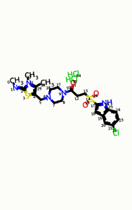 CN=c1sc(CN2CCN(C(=O)CCS(=O)(=O)c3cc4cc(Cl)ccc4[nH]3)CC2)c(C)n1C.Cl.Cl